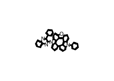 c1ccc(-c2nc3ccccc3nc2-n2c3cccc4c5cccc6c5c5c7c(ccc5n6-c5ccccc5)oc5ccc2c(c57)c43)cc1